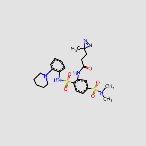 CN(C)S(=O)(=O)c1ccc(S(=O)(=O)Nc2ccccc2N2CCCCC2)c(NC(=O)CCC2(C)N=N2)c1